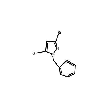 Brc1cc(Br)n(Cc2ccccc2)n1